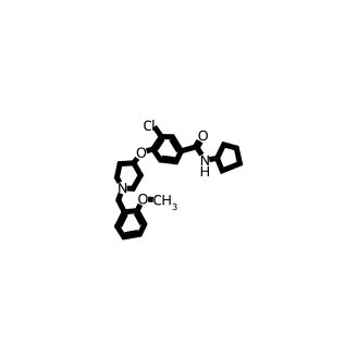 COc1ccccc1CN1CCC(Oc2ccc(C(=O)NC3CCCC3)cc2Cl)CC1